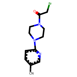 N#Cc1ccc(N2CCN(C(=O)CBr)CC2)nc1